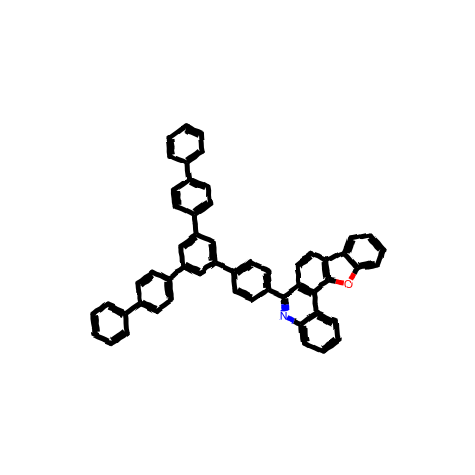 c1ccc(-c2ccc(-c3cc(-c4ccc(-c5ccccc5)cc4)cc(-c4ccc(-c5nc6ccccc6c6c5ccc5c7ccccc7oc56)cc4)c3)cc2)cc1